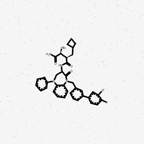 CCCC[C@H](C(N)=O)[C@@H](CC1CCC1)C(=O)NC1CN(c2ccccc2)c2ccccc2N(Cc2cccc(-c3ccc(F)c(Cl)c3)c2)C1=O